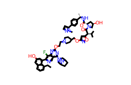 CCc1cccc2cc(O)cc(-c3ncc4c(N5CC6CCC(C5)N6)nc(OCCN5CCC(COc6cc([C@@H](C(=O)N7C[C@H](O)C[C@H]7C(=O)N[C@@H](C)c7ccc(-c8ccnn8C)cc7)C(C)C)on6)CC5)nc4c3F)c12